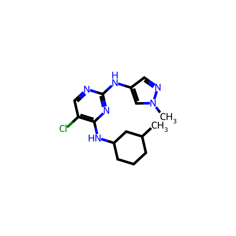 CC1CCCC(Nc2nc(Nc3cnn(C)c3)ncc2Cl)C1